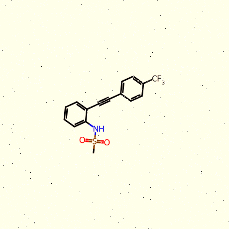 CS(=O)(=O)Nc1ccccc1C#Cc1ccc(C(F)(F)F)cc1